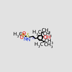 CC(C)(C)c1cc(/C=C/c2nnc(S(C)(=O)=O)s2)cc(C(C)(C)C)c1O